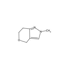 Cn1cc2c(n1)CCOC2